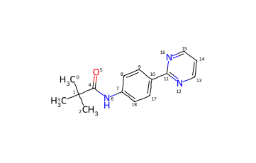 CC(C)(C)C(=O)Nc1ccc(-c2ncccn2)cc1